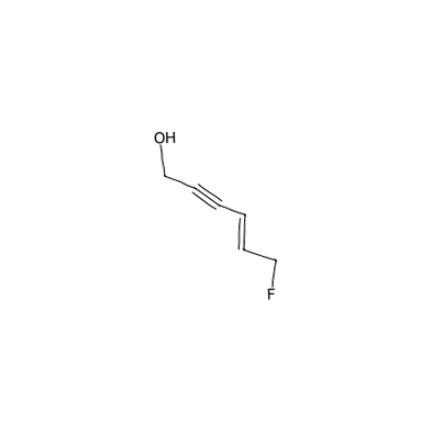 OCC#CC=CCF